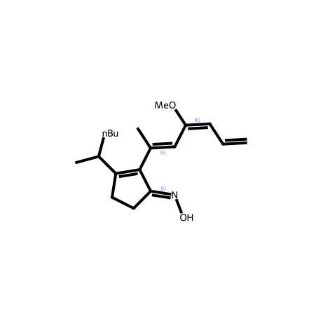 C=C/C=C(\C=C(/C)C1=C(C(C)CCCC)CC/C1=N\O)OC